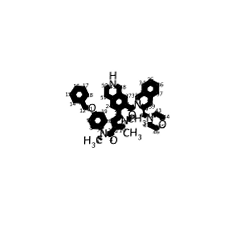 Cc1c(C(=O)N(C)c2ccc(OCc3ccccc3)cc2)cc(-c2cc3c(cc2C(=O)N2Cc4ccccc4C[C@H]2CN2CCOCC2)CNCC3)n1C